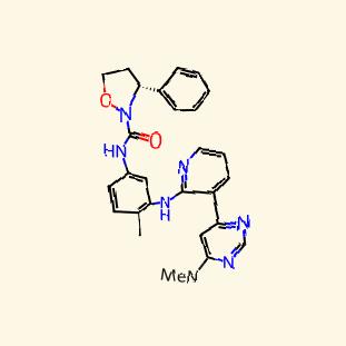 CNc1cc(-c2cccnc2Nc2cc(NC(=O)N3OCC[C@@H]3c3ccccc3)ccc2C)ncn1